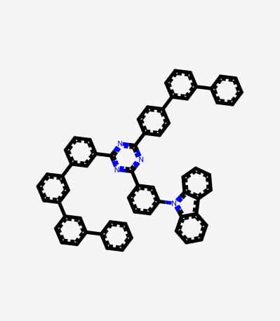 c1ccc(-c2cccc(-c3ccc(-c4nc(-c5cccc(-c6cccc(-c7cccc(-c8ccccc8)c7)c6)c5)nc(-c5cccc(-n6c7ccccc7c7ccccc76)c5)n4)cc3)c2)cc1